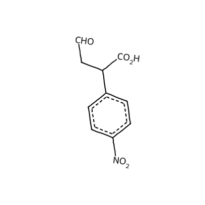 O=CCC(C(=O)O)c1ccc([N+](=O)[O-])cc1